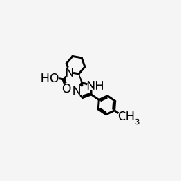 Cc1ccc(-c2cnc([C@@H]3CCCCN3C(=O)O)[nH]2)cc1